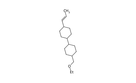 C/C=C/C1CCC(C2CCC(COCC)CC2)CC1